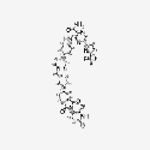 NC(=O)c1ncc(-n2ccc(C(F)(F)F)n2)nc1Nc1ccc(N2CCN(C[C@H]3CCN(c4ccc5c(c4)C(=O)N(C4CCC(=O)NC4=O)C5=O)C3)CC2)cc1